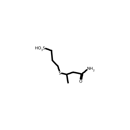 CC(CC(N)=O)SCCCS(=O)(=O)O